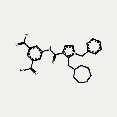 O=C(O)c1cc(NC(=O)c2ccn(Cc3ccccc3)c2CC2CCCCCC2)cc(C(=O)O)c1